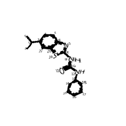 CC(C)c1ccc2nc(NC(=O)Nc3ccccc3)sc2c1